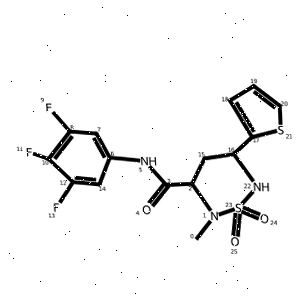 CN1C(C(=O)Nc2cc(F)c(F)c(F)c2)CC(c2cccs2)NS1(=O)=O